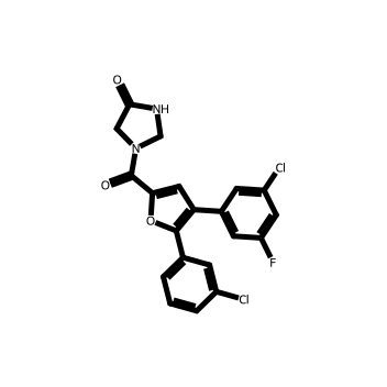 O=C1CN(C(=O)c2cc(-c3cc(F)cc(Cl)c3)c(-c3cccc(Cl)c3)o2)CN1